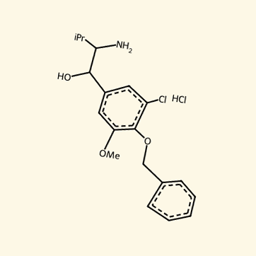 COc1cc(C(O)C(N)C(C)C)cc(Cl)c1OCc1ccccc1.Cl